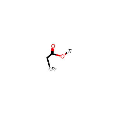 CCCCC(=O)[O][Ti]